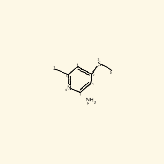 CSc1ccnc(C)c1.N